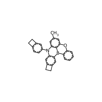 Cc1cc2c3c(c1)N(c1ccc4c(c1)CC4)c1cc4c(cc1B3c1ccccc1O2)CC4